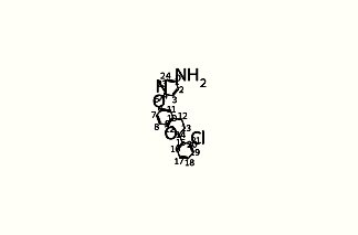 Nc1ccc(Oc2ccc3c(c2)CCC(c2ccccc2Cl)O3)nc1